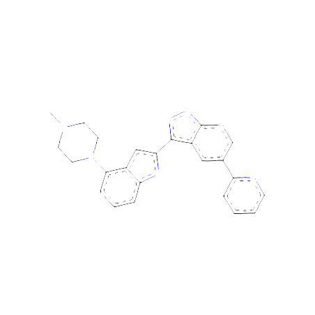 CN1CCN(c2cccc3[nH]c(-c4n[nH]c5ncc(-c6ccccn6)cc45)cc23)CC1